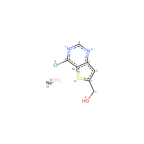 OCc1cc2ncnc(Cl)c2s1.[BH4-].[Na+]